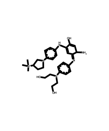 C[N+](C)(C)C1CCN(c2ccc(NC3=CC(=Nc4ccc(N(CCO)CCO)cc4)C(N)C=C3O)cc2)C1